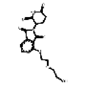 O=C1CCC(N2C(=O)c3cccc(OCCOCCO)c3C2=O)C(=O)N1